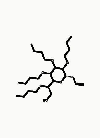 C=CC[C@@H]1OC([C@@H](CO)OCCCC)[C@@H](OCCCC)C(OCCCC)[C@H]1OCCCC